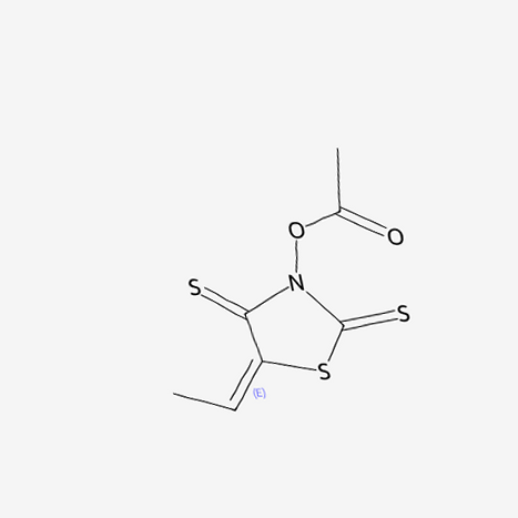 C/C=C1/SC(=S)N(OC(C)=O)C1=S